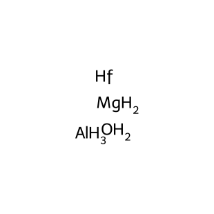 O.[AlH3].[Hf].[MgH2]